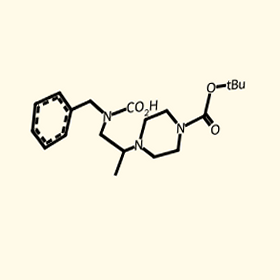 CC(CN(Cc1ccccc1)C(=O)O)N1CCN(C(=O)OC(C)(C)C)CC1